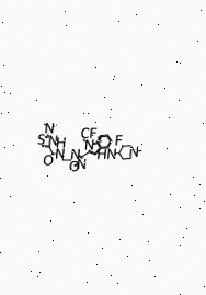 CN1CC[C@@H](Nc2cccc3c2cc(-c2noc(CNC(=O)c4csc(N(C)C)n4)n2)n3CC(F)(F)F)[C@@H](F)C1